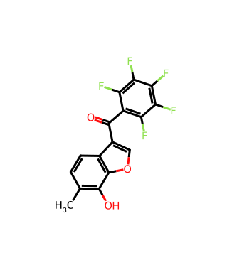 Cc1ccc2c(C(=O)c3c(F)c(F)c(F)c(F)c3F)coc2c1O